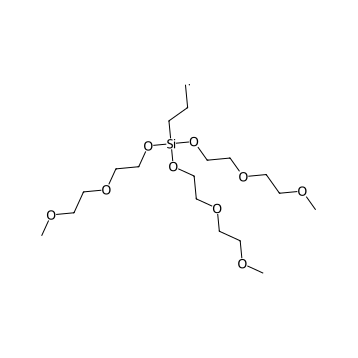 [CH2]CC[Si](OCCOCCOC)(OCCOCCOC)OCCOCCOC